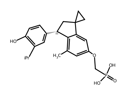 Cc1cc(OCP(=O)(O)O)cc2c1[C@H](c1ccc(O)c(C(C)C)c1)CC21CC1